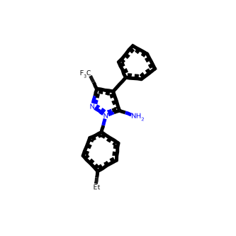 [CH2]Cc1ccc(-n2nc(C(F)(F)F)c(-c3ccccc3)c2N)cc1